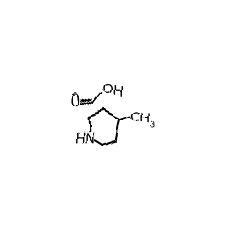 CC1CCNCC1.O=CO